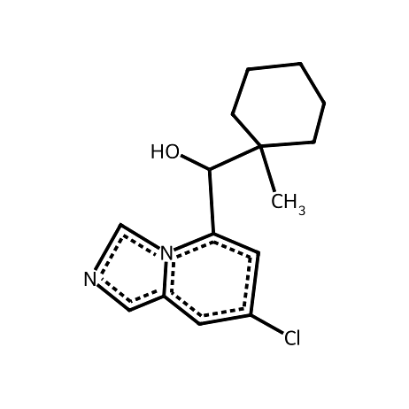 CC1(C(O)c2cc(Cl)cc3cncn23)CCCCC1